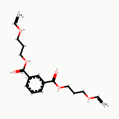 C=COCCCOC(=O)c1cccc(C(=O)OCCCOC=C)c1